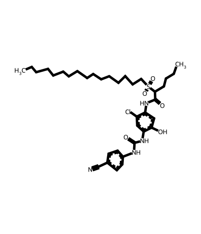 CCCCCCCCCCCCCCCCS(=O)(=O)C(CCCC)C(=O)Nc1cc(O)c(NC(=O)Nc2ccc(C#N)cc2)cc1Cl